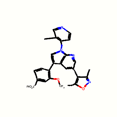 Cc1cnccc1-n1cc(-c2ccc(C(=O)O)cc2OC(F)(F)F)c2cc(-c3c(C)noc3C)cnc21